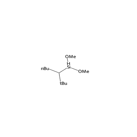 CCCCC([SiH](OC)OC)C(C)(C)C